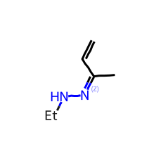 C=C/C(C)=N\NCC